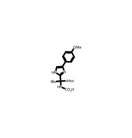 CCCCCCC(NC(=O)O)(c1nc(-c2ccc(OC)cc2)c[nH]1)C(C)(C)C